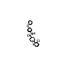 O=C(Nc1ccc(Oc2ccccc2)cc1)C1=CCN(c2ncccc2Cl)CC1